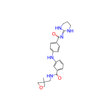 CC1(CNC(=O)c2cccc(Nc3ccc(C(=O)N=C4NCCCN4)cc3)c2)COC1